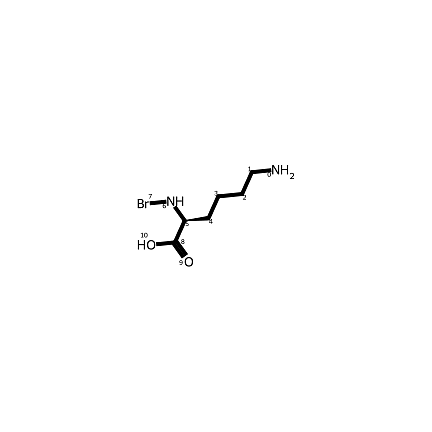 NCCCC[C@H](NBr)C(=O)O